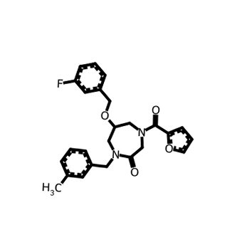 Cc1cccc(CN2CC(OCc3cccc(F)c3)CN(C(=O)c3ccco3)CC2=O)c1